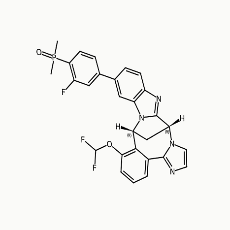 CP(C)(=O)c1ccc(-c2ccc3nc4n(c3c2)[C@@H]2C[C@H]4n3ccnc3-c3cccc(OC(F)F)c32)cc1F